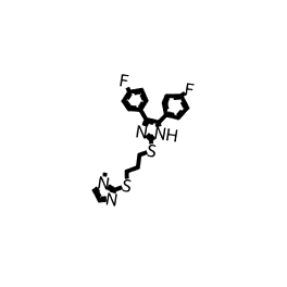 Cn1ccnc1SCCCSc1nc(-c2ccc(F)cc2)c(-c2ccc(F)cc2)[nH]1